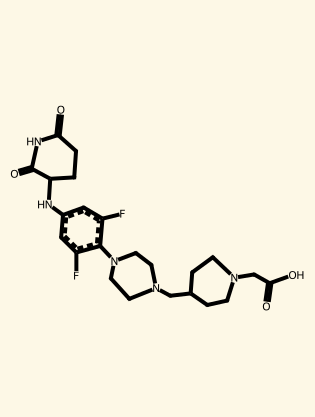 O=C(O)CN1CCC(CN2CCN(c3c(F)cc(NC4CCC(=O)NC4=O)cc3F)CC2)CC1